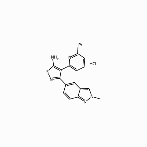 CC(C)c1cccc(-c2c(-c3ccc4nn(C)cc4c3)nsc2N)n1.Cl